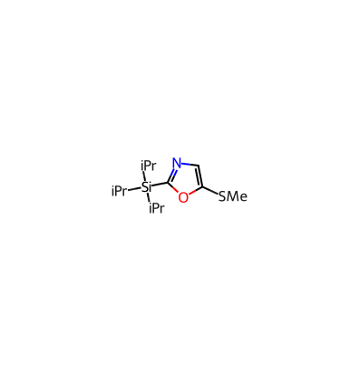 CSc1cnc([Si](C(C)C)(C(C)C)C(C)C)o1